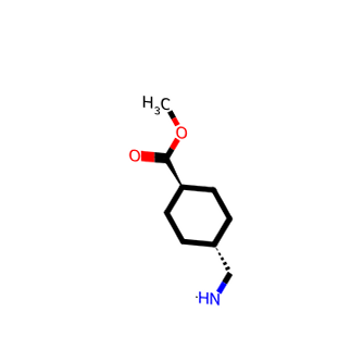 COC(=O)[C@H]1CC[C@H](C[NH])CC1